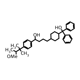 COC(C)C(C)(C)c1ccc(C(O)CCCC2CCC(C(O)(c3ccccc3)c3ccccc3)CC2)cc1